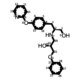 OC[C@H](Cc1ccc(Oc2ccccn2)cc1)NC[C@H](O)COc1ccccc1